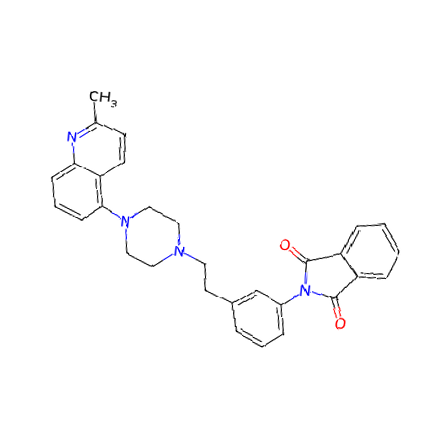 Cc1ccc2c(N3CCN(CCc4cccc(N5C(=O)c6ccccc6C5=O)c4)CC3)cccc2n1